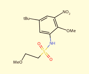 COCCS(=O)(=O)Nc1cc(C(C)(C)C)cc([N+](=O)[O-])c1OC